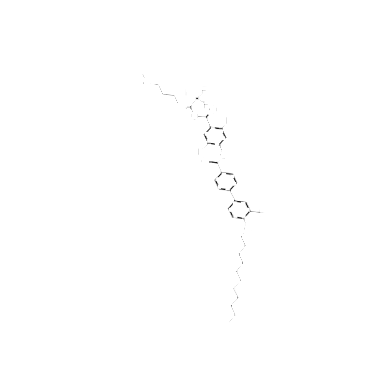 CCCCCCCCCCCOc1ccc(-c2ccc(C(=O)Oc3cc(F)c(C(=O)O[C@H](CCCCOC)C(F)(F)F)cc3F)cc2)cc1F